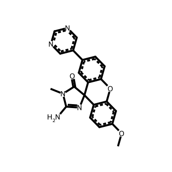 COc1ccc2c(c1)Oc1ccc(-c3cncnc3)cc1C21N=C(N)N(C)C1=O